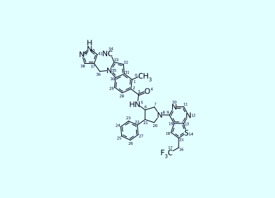 Cc1c(C(=O)NC2CN(c3ncnc4sc(CC(F)(F)F)cc34)CC2c2ccccc2)ccc2c1cc(C#N)n2Cc1cn[nH]c1